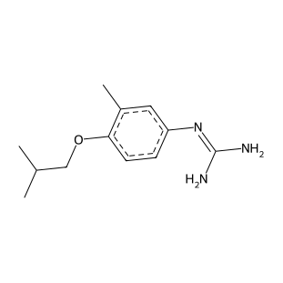 Cc1cc(N=C(N)N)ccc1OCC(C)C